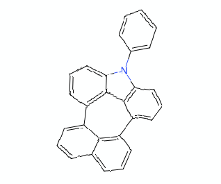 c1ccc(-n2c3cccc4c3c3c(cccc32)-c2cccc3cccc-4c23)cc1